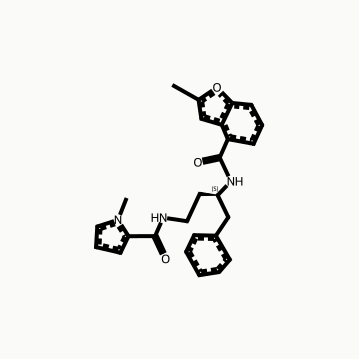 Cc1cc2c(C(=O)N[C@H](CCNC(=O)c3cccn3C)Cc3ccccc3)cccc2o1